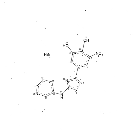 Br.O=[N+]([O-])c1cc(-c2csc(Nc3cccnc3)n2)cc(O)c1O